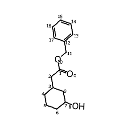 O=C(CC1CCCC(O)C1)OCc1ccccc1